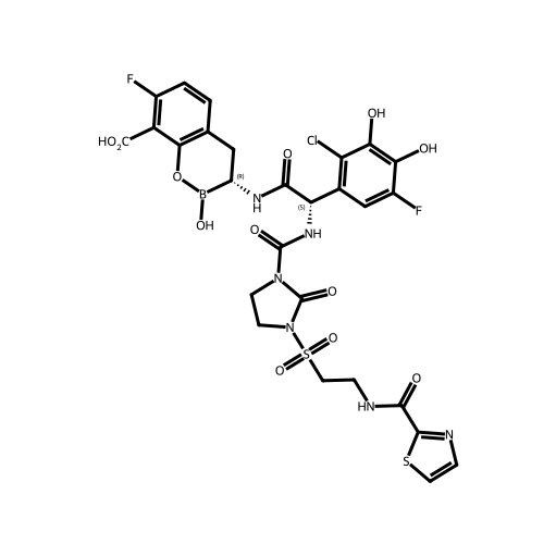 O=C(NCCS(=O)(=O)N1CCN(C(=O)N[C@H](C(=O)N[C@H]2Cc3ccc(F)c(C(=O)O)c3OB2O)c2cc(F)c(O)c(O)c2Cl)C1=O)c1nccs1